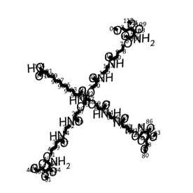 COCC1OC(OCCCCC(=O)NCCCNC(=O)CCOCC(COCCC(=O)NCCCNC(=O)CCCCOC2OC(COC)C(OC)C(OC)C2N)(COCCC(=O)NCCCNC(=O)CCCCOC2OC(COC)C(OC)C(OC)C2N)NC(=O)CCCCCCCCCCC(=O)O)C(N)C(OC)C1OC